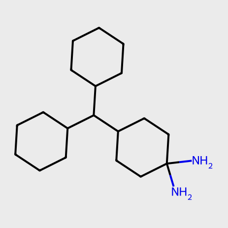 NC1(N)CCC(C(C2CCCCC2)C2CCCCC2)CC1